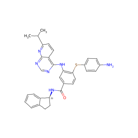 CC(C)c1ccc2c(Nc3cc(C(=O)N[C@H]4CCc5ccccc54)ccc3Sc3ccc(N)cc3)ncnc2n1